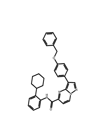 O=C(Nc1ccccc1C1CCCCC1)c1ccn2ncc(-c3ccc(OCc4ccccc4)cc3)c2n1